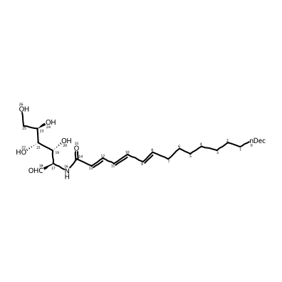 CCCCCCCCCCCCCCCCCC=CC=CC=CC(=O)N[C@@H](C=O)[C@@H](O)[C@H](O)[C@H](O)CO